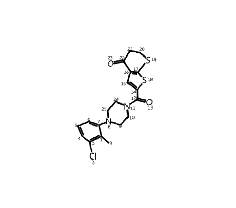 Cc1c(Cl)cccc1N1CCN(C(=O)c2cc3c(s2)SCCC3=O)CC1